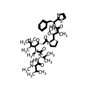 CC[C@H](C)[C@@H]([C@@H](CC(=O)N1CCC[C@H]1[C@H](OC)[C@@H](C)C(=O)N[C@@H](Cc1ccccc1)c1nccs1)OC)N(C)C(=O)[9C@@H](NC(=O)[C@@H](NC)C(C)C)C(C)C